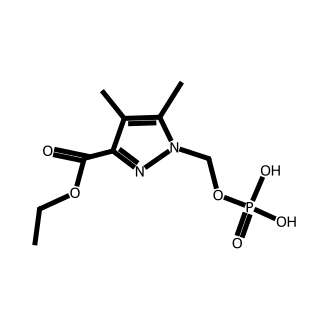 CCOC(=O)c1nn(COP(=O)(O)O)c(C)c1C